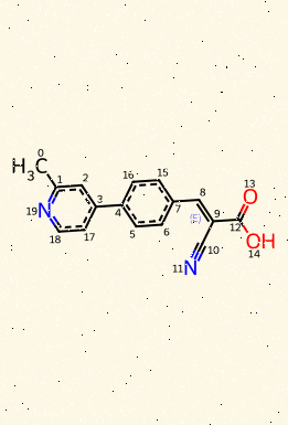 Cc1cc(-c2ccc(/C=C(\C#N)C(=O)O)cc2)ccn1